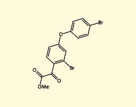 COC(=O)C(=O)c1ccc(Oc2ccc(Br)cc2)cc1Br